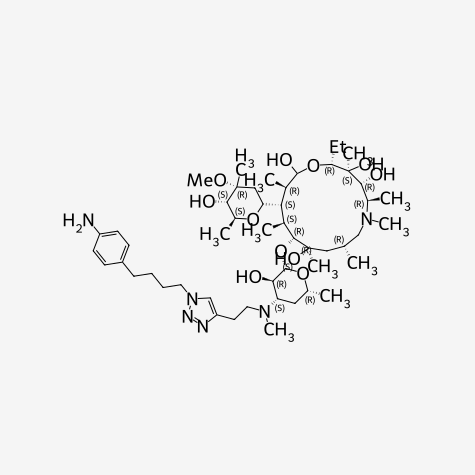 CC[C@H]1OC(O)[C@H](C)[C@@H](C2C[C@@](C)(OC)[C@@H](O)[C@H](C)O2)[C@H](C)[C@@H](O[C@@H]2O[C@H](C)C[C@H](N(C)CCc3cn(CCCCc4ccc(N)cc4)nn3)[C@H]2O)[C@](C)(O)C[C@@H](C)CN(C)[C@H](C)[C@@H](O)[C@]1(C)O